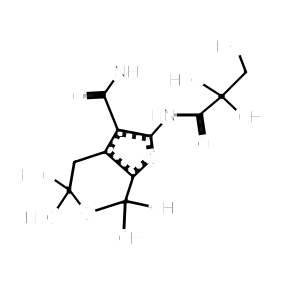 CC1(C)Cc2c(sc(NC(=O)C(C)(C)CO)c2C(N)=O)C(C)(C)O1